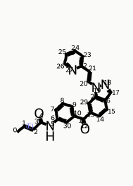 C/C=C/C(=O)Nc1cccc(C(=O)c2ccc3cnn(C=Cc4ccccn4)c3c2)c1